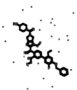 CCc1cc(OCc2ccccc2)c(F)cc1-c1ccc(C(=N)c2nc3c(n2SF)CN(C(=O)N2CCC(O)CC2)C3)c(NSF)c1